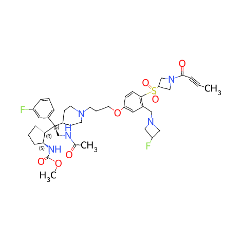 CC#CC(=O)N1CC(S(=O)(=O)c2ccc(OCCCN3CCC([C@@](CNC(C)=O)(c4cccc(F)c4)[C@H]4CCC[C@@H]4NC(=O)OC)CC3)cc2CN2CC(F)C2)C1